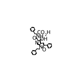 O=C(NC(Cc1ccccc1)C(=O)O)c1ncc2c(cc(-c3ccccc3)c(=O)n2CCc2ccccc2)c1O